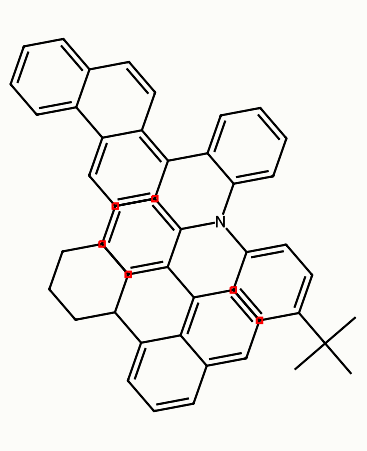 CC(C)(C)c1ccc(N(c2ccccc2-c2cccc3c2ccc2ccccc23)c2ccccc2-c2cccc3cccc(C4CCCCC4)c23)cc1